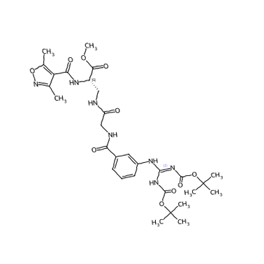 COC(=O)[C@H](CNC(=O)CNC(=O)c1cccc(N/C(=N/C(=O)OC(C)(C)C)NC(=O)OC(C)(C)C)c1)NC(=O)c1c(C)noc1C